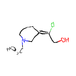 O=C(O)N1CCCC(=C(Cl)CO)C1